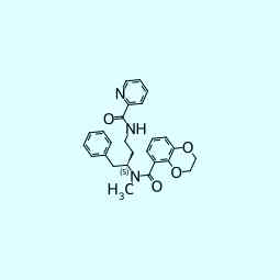 CN(C(=O)c1cccc2c1OCCO2)[C@H](CCNC(=O)c1ccccn1)Cc1ccccc1